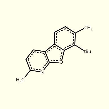 Cc1ccc2c(n1)oc1c(C(C)(C)C)c(C)ccc12